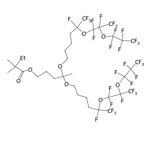 CCC(C)(C)C(=O)OCCCC(C)(OCCCCC(F)(OC(F)(F)C(F)(OC(F)(F)C(F)(F)C(F)(F)F)C(F)(F)F)C(F)(F)F)OCCCCC(F)(OC(F)(F)C(F)(OC(F)(F)C(F)(F)C(F)(F)F)C(F)(F)F)C(F)(F)F